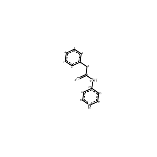 O=C([CH]c1ccccc1)Nc1ccncc1